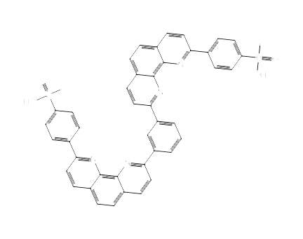 O=P(O)(O)c1ccc(-c2ccc3ccc4ccc(-c5cccc(-c6ccc7ccc8ccc(-c9ccc(P(=O)(O)O)cc9)nc8c7n6)c5)nc4c3n2)cc1